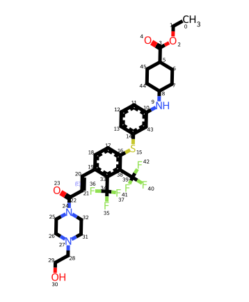 CCOC(=O)C1CCC(Nc2cccc(Sc3ccc(/C=C/C(=O)N4CCN(CCO)CC4)c(C(F)(F)F)c3C(F)(F)F)c2)CC1